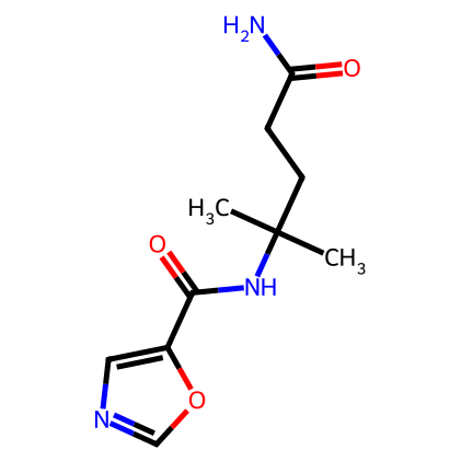 CC(C)(CCC(N)=O)NC(=O)c1cnco1